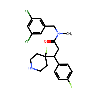 CN(Cc1cc(Cl)cc(Cl)c1)C(=O)CC(c1ccc(F)cc1)C1(F)CCNCC1